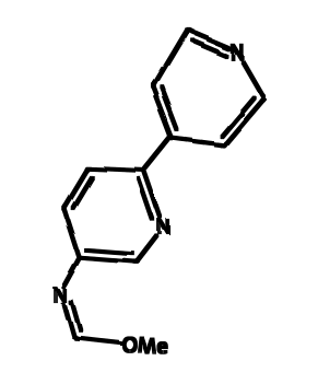 CO/C=N\c1ccc(-c2ccncc2)nc1